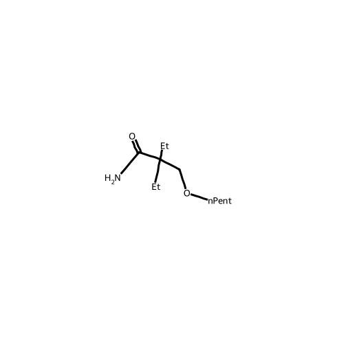 CCCCCOCC(CC)(CC)C(N)=O